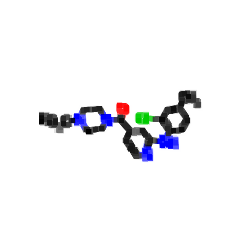 Cc1ccc(Nc2cc(C(=O)N3CCN(C(=O)O)CC3)ccn2)c(Cl)c1